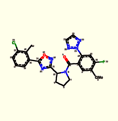 COc1cc(C(=O)N2CCCC2c2noc(-c3cccc(Cl)c3C)n2)c(-n2nccn2)cc1F